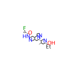 CCC(O)c1cc(C)c(-c2cc3cnc(NC(=O)[C@H]4C[C@H]4F)cc3c3ccnn23)cn1